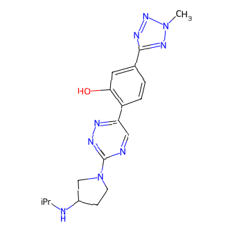 CC(C)NC1CCN(c2ncc(-c3ccc(-c4nnn(C)n4)cc3O)nn2)C1